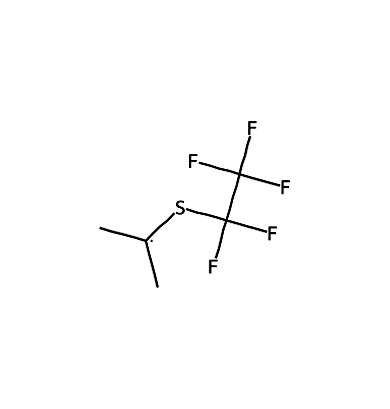 C[C](C)SC(F)(F)C(F)(F)F